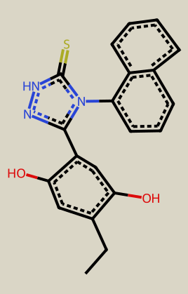 CCc1cc(O)c(-c2n[nH]c(=S)n2-c2cccc3ccccc23)cc1O